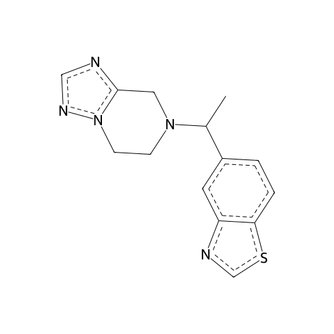 CC(c1ccc2scnc2c1)N1CCn2ncnc2C1